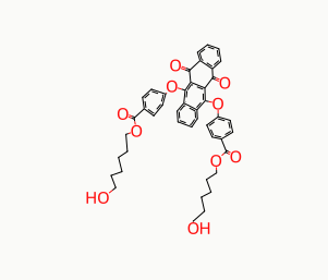 O=C(OCCCCCCO)c1ccc(Oc2c3c(c(Oc4ccc(C(=O)OCCCCCCO)cc4)c4ccccc24)C(=O)c2ccccc2C3=O)cc1